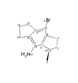 C[C@@H]1CCc2c(Br)c3c(c(N)c21)CCC3